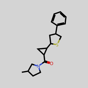 CC1CCN(C(=O)C2CC2C2CC(c3ccccc3)CS2)C1